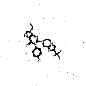 CCn1cnc2c(=O)n(-c3ccc(Cl)cc3)c(N3CCn4cc(C(F)(F)F)nc4C3)nc21